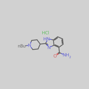 CCCCN1CCC(c2nc3c(C(N)=O)cccc3[nH]2)CC1.Cl